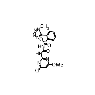 COc1cc(Cl)nc(NC(=O)NS(=O)(=O)c2ccccc2-c2nnnn2C)n1